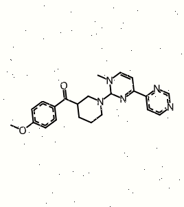 COc1ccc(C(=O)C2CCCN(C3N=C(c4ccncn4)C=CN3C)C2)cc1